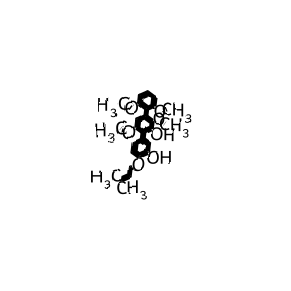 COc1cccc(OC)c1-c1cc(OC)c(-c2ccc(OCC=C(C)C)c(O)c2)c(O)c1OC